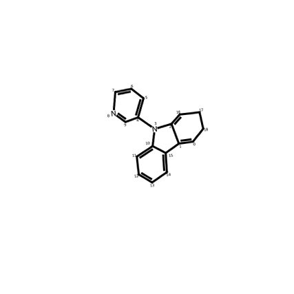 C1=c2c(n(-c3cccnc3)c3ccccc23)=CCC1